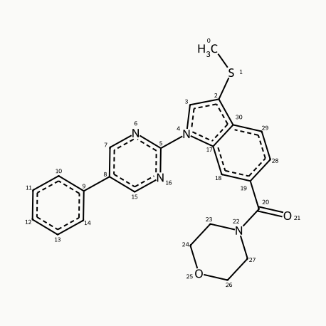 CSc1cn(-c2ncc(-c3ccccc3)cn2)c2cc(C(=O)N3CCOCC3)ccc12